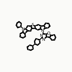 c1ccc(-c2ccc(-c3nc(-n4c5ccccc5c5cc6sc7cc8c(cc7c6cc54)c4ccccc4n8-c4ccccc4)c4oc5ccccc5c4n3)cc2)cc1